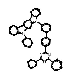 c1ccc(-c2nc(-c3ccccc3)nc(-c3ccc(-c4cccc(-n5c6ccccc6c6cc7c8ccccc8n(-c8ccccc8)c7cc65)c4)cc3)n2)cc1